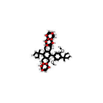 CCC(C)(CC)c1cc(OC)c(-c2c3c(c(C(C)(CC)CC)c4c2C2c5cc6ccccc6cc5C4c4cc5ccccc5cc42)C2c4ccccc4C3c3ccccc32)cc1OC